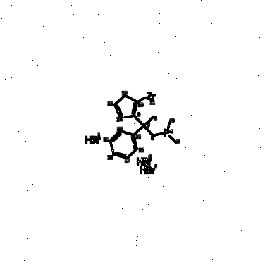 Br.Br.Br.CP(C)CC(C)(C1=[C]([Zr])CC=C1)c1ccccc1